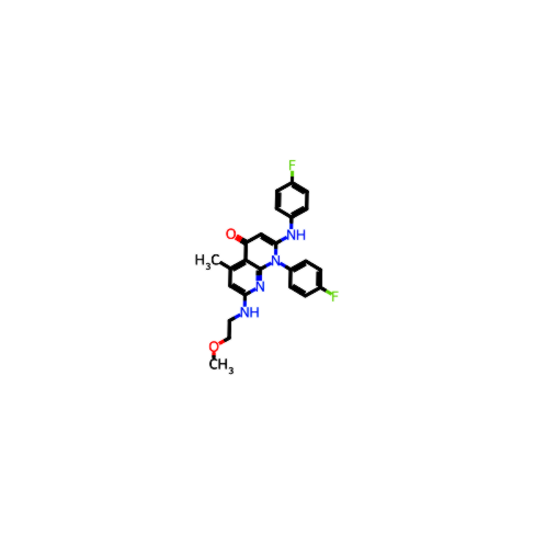 COCCNc1cc(C)c2c(=O)cc(Nc3ccc(F)cc3)n(-c3ccc(F)cc3)c2n1